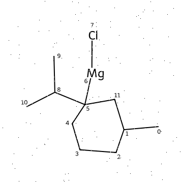 CC1CCC[C]([Mg][Cl])(C(C)C)C1